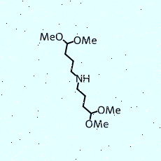 COC(CCCNCCCC(OC)OC)OC